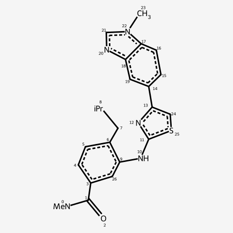 CNC(=O)c1ccc(CC(C)C)c(Nc2nc(-c3ccc4c(c3)ncn4C)cs2)c1